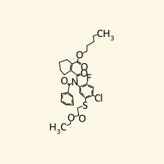 CCCCCOC(=O)C1=C(C(=O)N(C(=O)c2ccccc2)c2cc(SCC(=O)OCC)c(Cl)cc2F)CCCC1